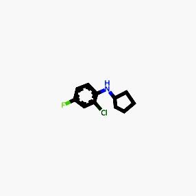 Fc1ccc(NC2CCCC2)c(Cl)c1